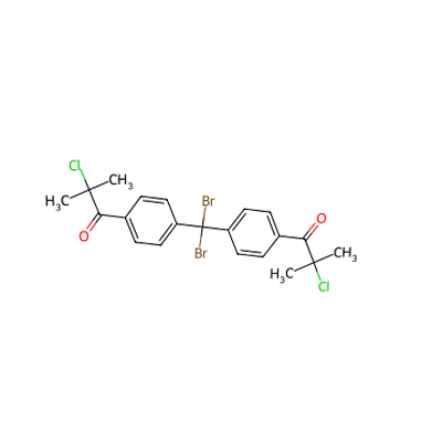 CC(C)(Cl)C(=O)c1ccc(C(Br)(Br)c2ccc(C(=O)C(C)(C)Cl)cc2)cc1